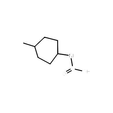 CC1CCC(NS(=O)O)CC1